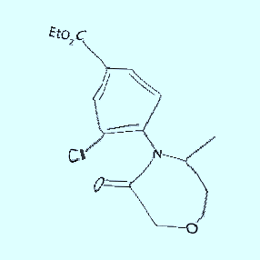 CCOC(=O)c1ccc(N2C(=O)COCC2C)c(Cl)c1